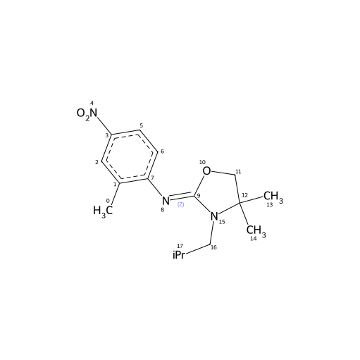 Cc1cc([N+](=O)[O-])ccc1/N=C1\OCC(C)(C)N1CC(C)C